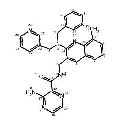 Cc1cccc2cc(CNC(=O)c3nccnc3N)c(N(Cc3cccnc3)Cc3cccnc3)nc12